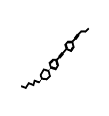 CCCC#Cc1ccc(C#Cc2ccc([C@H]3CC[C@H](CCCCCC)CC3)cc2)cc1